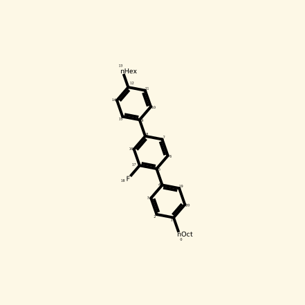 CCCCCCCCc1ccc(-c2ccc(-c3ccc(CCCCCC)cc3)cc2F)cc1